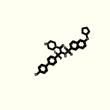 O=C(C(NS(=O)(=O)c1ccc2cc(OC3CCCC3)ccc2c1)C(F)(F)c1ccc(-c2ccc(Cl)cc2)cc1)N1CCNCC1